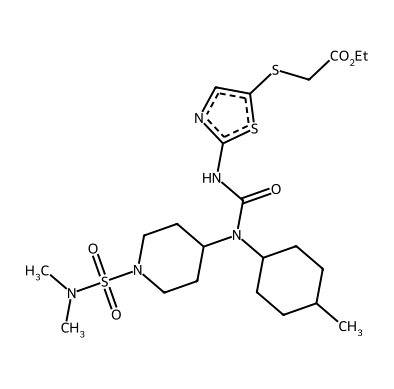 CCOC(=O)CSc1cnc(NC(=O)N(C2CCC(C)CC2)C2CCN(S(=O)(=O)N(C)C)CC2)s1